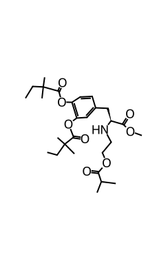 CCC(C)(C)C(=O)Oc1ccc(C[C@H](NCCOC(=O)C(C)C)C(=O)OC)cc1OC(=O)C(C)(C)CC